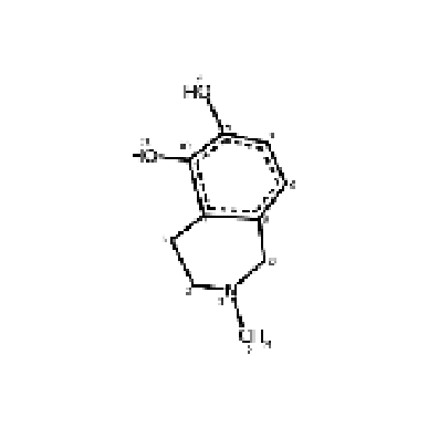 CN1CCc2c(ccc(O)c2O)C1